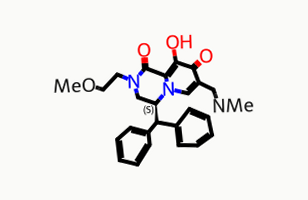 CNCc1cn2c(c(O)c1=O)C(=O)N(CCOC)C[C@@H]2C(c1ccccc1)c1ccccc1